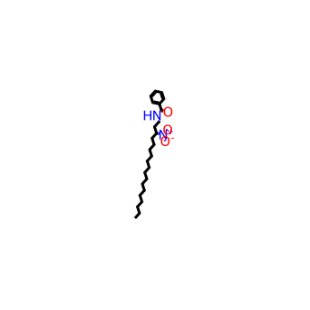 CCCCCCCCCCCCCCCC(CCNC(=O)c1ccccc1)[N+](=O)[O-]